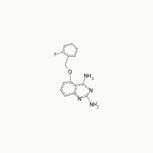 Nc1nc(N)c2c(OCc3ccccc3F)cccc2n1